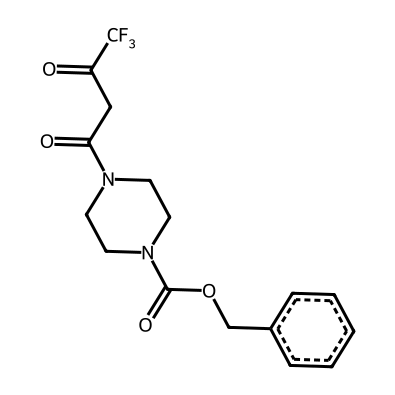 O=C(CC(=O)C(F)(F)F)N1CCN(C(=O)OCc2ccccc2)CC1